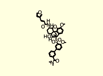 COc1ccc(-c2cccc(C(=O)N(C)C)c2)cc1S(=O)(=O)N1CC[C@]23c4c5ccc(OC)c4O[C@H]2[C@H](NC(=O)/C=C/c2ccoc2)CC[C@@]3(O)[C@H]1C5